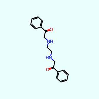 O=C(CNCCNCC(=O)c1ccccc1)c1ccccc1